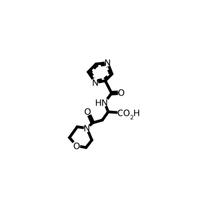 O=C(NC(CC(=O)N1CCOCC1)C(=O)O)c1cnccn1